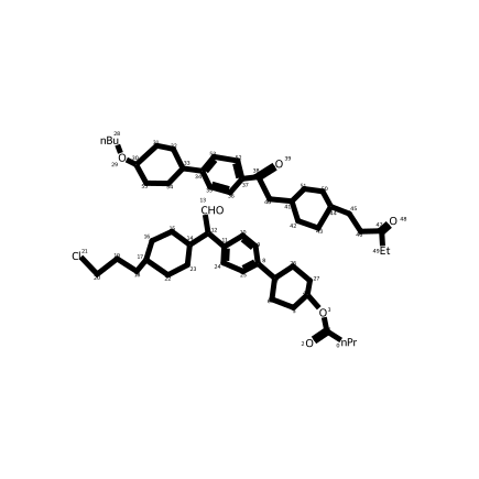 CCCC(=O)OC1CCC(c2ccc(C(C=O)C3CCC(CCCCl)CC3)cc2)CC1.CCCCOC1CCC(c2ccc(C(=O)CC3CCC(CCC(=O)CC)CC3)cc2)CC1